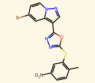 Cc1ccc([N+](=O)[O-])cc1Sc1nnc(-c2cnn3ccc(Br)cc23)o1